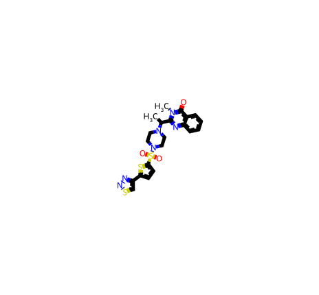 CC(c1nc2ccccc2c(=O)n1C)N1CCN(S(=O)(=O)c2ccc(-c3csnn3)s2)CC1